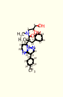 CN(CC(O)CO)C(=O)C(C)(Cc1ccccc1)c1ccnc2c(-c3ccc(C(F)(F)F)cc3)cnn12